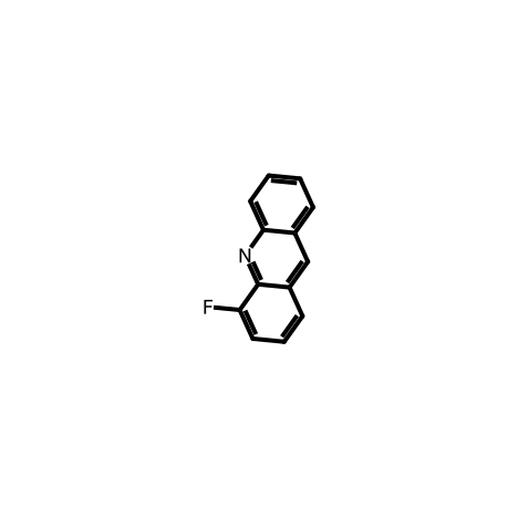 Fc1cccc2cc3ccccc3nc12